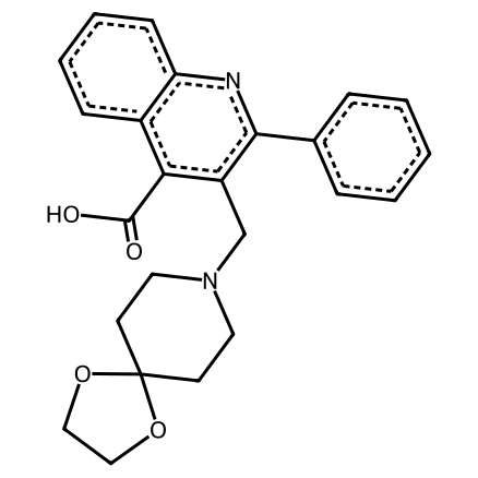 O=C(O)c1c(CN2CCC3(CC2)OCCO3)c(-c2ccccc2)nc2ccccc12